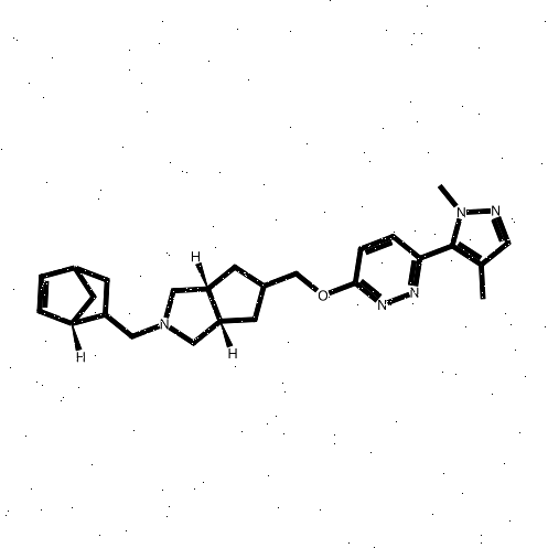 Cc1cnn(C)c1-c1ccc(OCC2C[C@@H]3CN(CC4CC5C=C[C@@H]4C5)C[C@@H]3C2)nn1